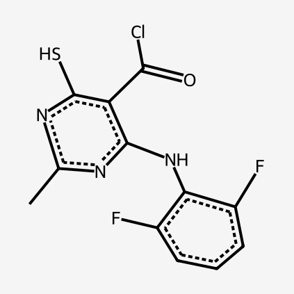 Cc1nc(S)c(C(=O)Cl)c(Nc2c(F)cccc2F)n1